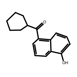 O=C(c1cccc2c(O)cccc12)C1CCCCC1